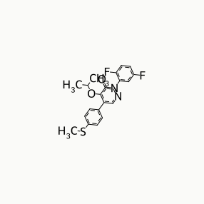 CSc1ccc(-c2cnn(-c3cc(F)ccc3F)c(=O)c2OC(C)C)cc1